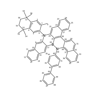 Cc1cc2c(cc1N1c3cc4ccccc4cc3B3c4c1cc1ccccc1c4-c1ccc4ccccc4c1N3c1ccc(-c3ccccc3)cc1)C(C)(C)CCC2(C)C